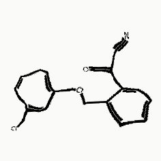 N#CC(=O)c1ccccc1COc1cccc(Cl)c1